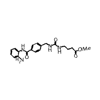 COC(=O)CCCNC(=O)NCc1ccc(C(=O)Nc2ccccc2N)cc1